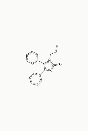 C=CCn1c(-c2ccccc2)c(-c2ccccc2)sc1=O